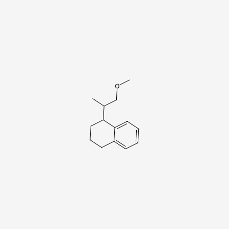 COCC(C)C1CCCc2ccccc21